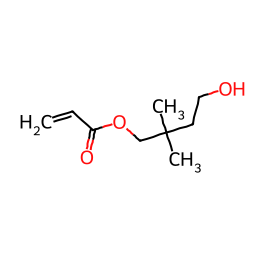 C=CC(=O)OCC(C)(C)CCO